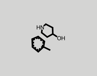 Cc1ccccc1.OC1CCNCC1